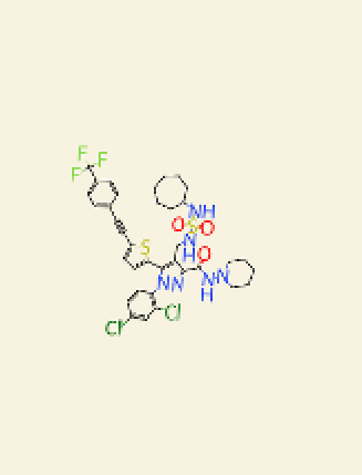 O=C(NN1CCCCC1)c1nn(-c2ccc(Cl)cc2Cl)c(-c2ccc(C#Cc3ccc(C(F)(F)F)cc3)s2)c1CNS(=O)(=O)NC1CCCCCC1